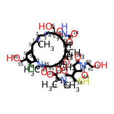 C/C1=C\C=C\[C@]2(CO)O[C@@]23C[C@H](OC(=O)N3)[C@@H](C)[C@@H]2O[C@@]2(C)[C@@H](OC(=O)[C@@H](C)N(C)C(=O)C(CS)C2CC(=O)N(CCO)C2=O)CC(=O)N(C)c2cc(cc(CO)c2Cl)C1